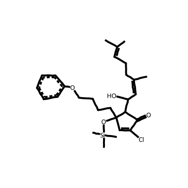 CC(C)=CCCC(C)=CC(O)C1C(=O)C(Cl)=CC1(CCCCOc1ccccc1)O[Si](C)(C)C